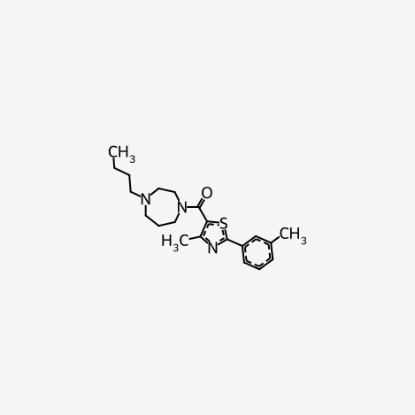 CCCCN1CCCN(C(=O)c2sc(-c3cccc(C)c3)nc2C)CC1